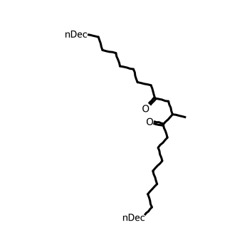 CCCCCCCCCCCCCCCCCC(=O)CC(C)C(=O)CCCCCCCCCCCCCCCCC